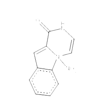 O=C1NC=C[N+]2([N+](=O)[O-])C1=Cc1ccccc12